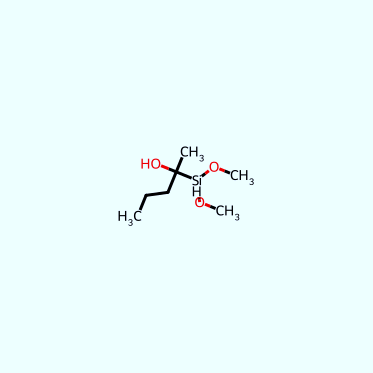 CCCC(C)(O)[SiH](OC)OC